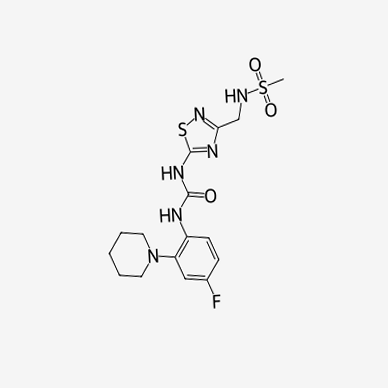 CS(=O)(=O)NCc1nsc(NC(=O)Nc2ccc(F)cc2N2CCCCC2)n1